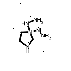 NN[N+]1(NN)CCNC1